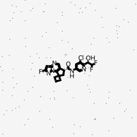 O=C(Nc1cnc([C@@H](O)C(F)F)c(Cl)c1)[C@@H]1CC2(CCC2)c2c1cnc1cc(F)nn21